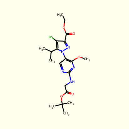 CCOC(=O)c1nn(-c2cnc(NCC(=O)OC(C)(C)C)nc2OC)c(C(C)C)c1Br